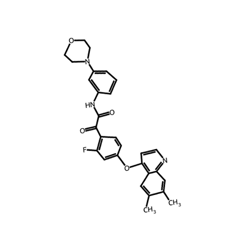 Cc1cc2nccc(Oc3ccc(C(=O)C(=O)Nc4cccc(N5CCOCC5)c4)c(F)c3)c2cc1C